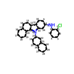 Clc1ccccc1Nc1ccc2c3ccc4ccccc4c3n(-c3ccc4ccccc4c3)c2c1